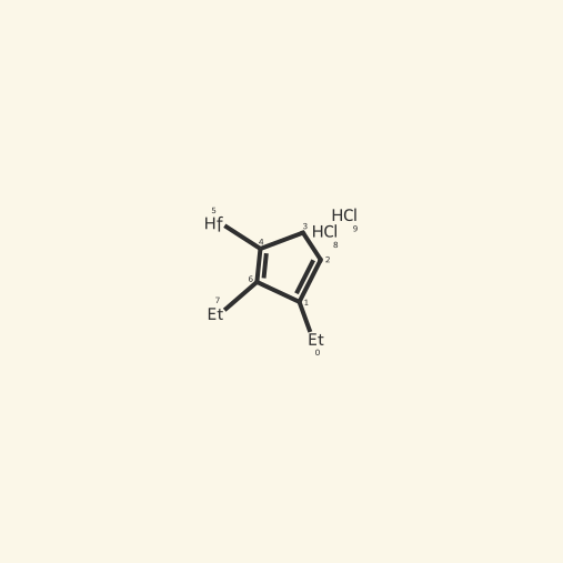 CCC1=CC[C]([Hf])=C1CC.Cl.Cl